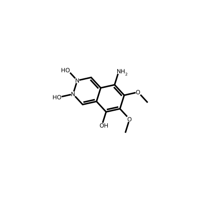 COc1c(OC)c(O)c2c(c1N)=CN(O)N(O)C=2